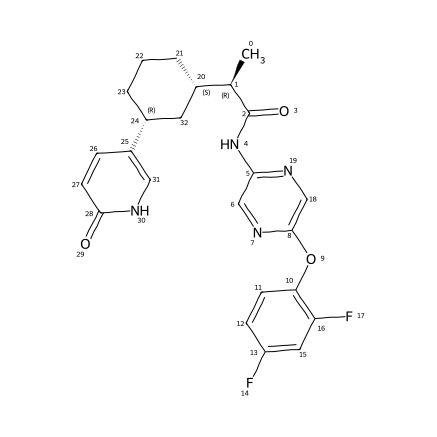 C[C@@H](C(=O)Nc1cnc(Oc2ccc(F)cc2F)cn1)[C@H]1CCC[C@@H](c2ccc(=O)[nH]c2)C1